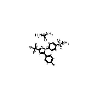 Cc1ccc(-c2cc(C(F)(F)F)nn2-c2ccc(S(N)(=O)=O)cc2)cc1.NC(N)=O